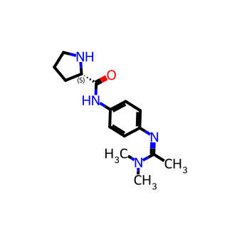 CC(=Nc1ccc(NC(=O)[C@@H]2CCCN2)cc1)N(C)C